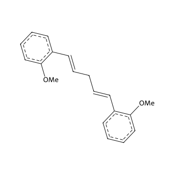 COc1ccccc1C=CCC=Cc1ccccc1OC